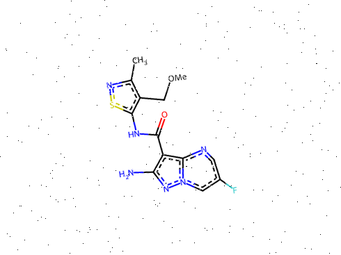 COCc1c(C)nsc1NC(=O)c1c(N)nn2cc(F)cnc12